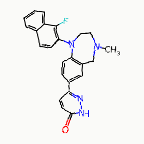 CN1CCN(c2ccc3ccccc3c2F)c2ccc(-c3ccc(=O)[nH]n3)cc2C1